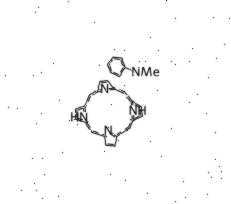 C1=Cc2cc3ccc(cc4nc(cc5ccc(cc1n2)[nH]5)C=C4)[nH]3.CNc1ccccc1